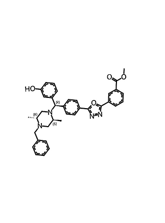 COC(=O)c1cccc(-c2nnc(-c3ccc([C@H](c4cccc(O)c4)N4C[C@@H](C)N(Cc5ccccc5)C[C@@H]4C)cc3)o2)c1